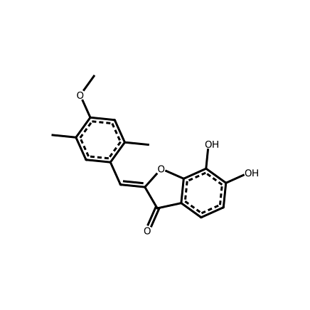 COc1cc(C)c(C=C2Oc3c(ccc(O)c3O)C2=O)cc1C